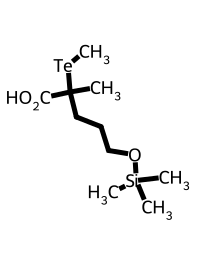 C[Te]C(C)(CCCO[Si](C)(C)C)C(=O)O